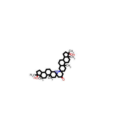 CC12CCC3(CC(=O)CC4(CCC5(C)C(CCC6C5CCC5(C)C6CCC5(C)O)C4)N3)CC1CCC1C2CCC2(C)C1CCC2(C)O